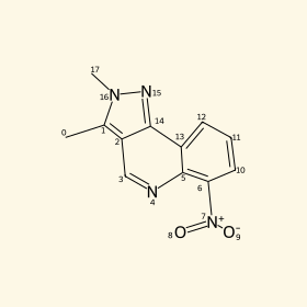 Cc1c2cnc3c([N+](=O)[O-])cccc3c2nn1C